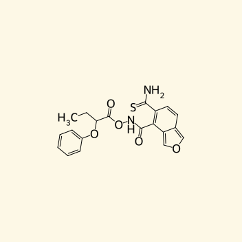 CCC(Oc1ccccc1)C(=O)ONC(=O)c1c(C(N)=S)ccc2cocc12